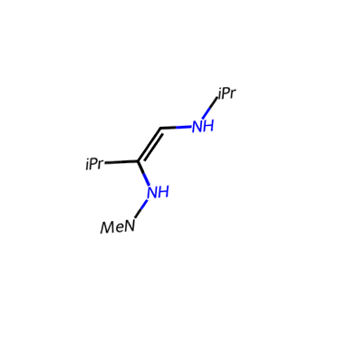 CNN/C(=C\NC(C)C)C(C)C